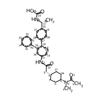 CC(=O)N(C)[C@H]1CC[C@H](CC(=O)Nc2cnc(-c3ccc([C@@H](C)NC(=O)O)cc3)c(-c3ccccc3)c2)CC1